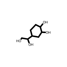 OCC(O)C1CCC(O)C(O)C1